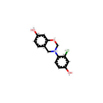 Oc1ccc(N2COc3cc(O)ccc3C2)c(Cl)c1